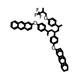 CC(CC(CC(C)c1ccc(Oc2ccc3cc4ccccc4cc3c2)cc1)c1ccc(OC2CC3CC2C2C4CC(C5C6CCC(C6)C45)C32)cc1)c1ccc(OCC(C)C(F)(F)F)cc1